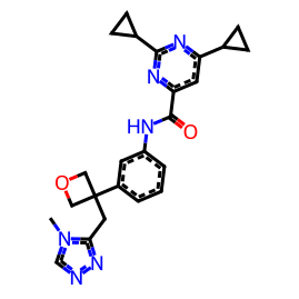 Cn1cnnc1CC1(c2cccc(NC(=O)c3cc(C4CC4)nc(C4CC4)n3)c2)COC1